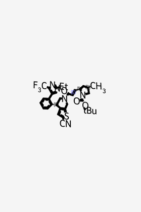 CCn1cc(-c2ccccc2[C@@H]2CN(C(=O)/C=C/[C@H]3C[C@@H](C)CN3C(=O)OC(C)(C)C)Cc3sc(C#N)cc32)c(C(F)(F)F)n1